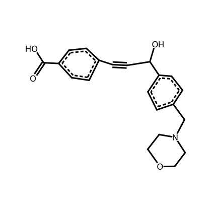 O=C(O)c1ccc(C#CC(O)c2ccc(CN3CCOCC3)cc2)cc1